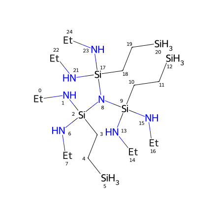 CCN[Si](CC[SiH3])(NCC)N([Si](CC[SiH3])(NCC)NCC)[Si](CC[SiH3])(NCC)NCC